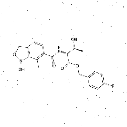 Cc1c(C(=O)N[C@H](C(=O)OCc2ccc(F)cc2)[C@H](C)O)ccc2c1B(O)OC2